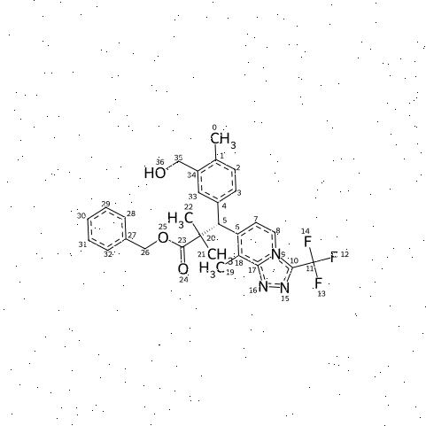 Cc1ccc([C@H](c2ccn3c(C(F)(F)F)nnc3c2C)C(C)(C)C(=O)OCc2ccccc2)cc1CO